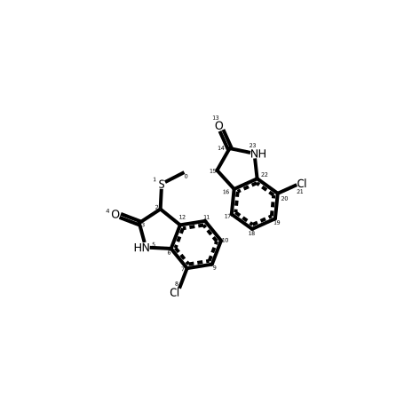 CSC1C(=O)Nc2c(Cl)cccc21.O=C1Cc2cccc(Cl)c2N1